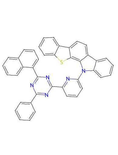 c1ccc(-c2nc(-c3cccc(-n4c5ccccc5c5ccc6c7ccccc7sc6c54)n3)nc(-c3cccc4ccccc34)n2)cc1